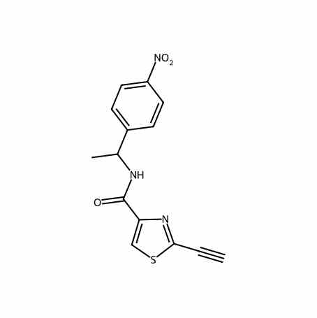 C#Cc1nc(C(=O)NC(C)c2ccc([N+](=O)[O-])cc2)cs1